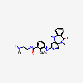 CCN(CC)CCNC(=O)c1cccc(Nc2cc3c(cn2)N(C)C(=O)c2ccccc2N3C)c1OC